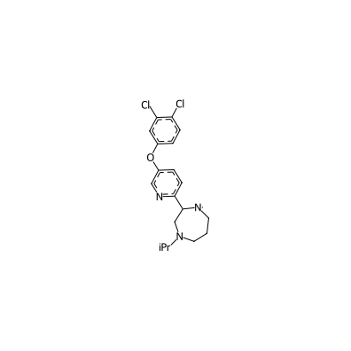 CC(C)N1CCC[N]C(c2ccc(Oc3ccc(Cl)c(Cl)c3)cn2)C1